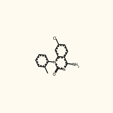 Cc1ccccc1-n1c(=O)nc(N)c2ccc(Cl)cc21